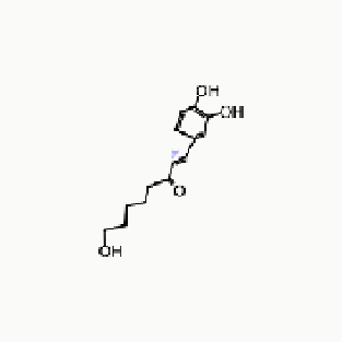 O=C(/C=C/c1ccc(O)c(O)c1)CCCCCO